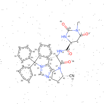 CN1C(=O)C[C@@H](C(=O)N[C@@H](Cc2cncn2C(c2ccccc2)(c2ccccc2)c2ccccc2)C(=O)N2CCC[C@H]2C#N)NC1=O